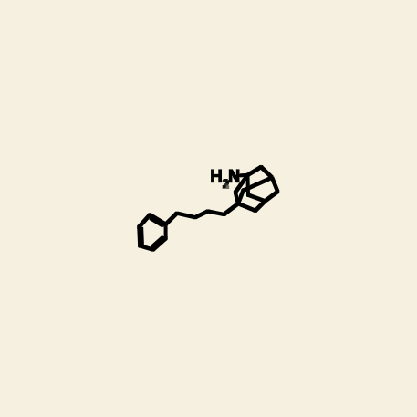 NC12CC3CC(C1)CC(CCCCc1ccccc1)(C3)C2